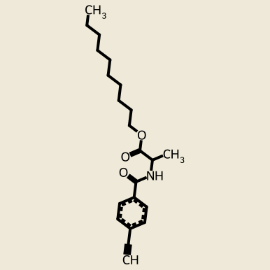 C#Cc1ccc(C(=O)NC(C)C(=O)OCCCCCCCCCC)cc1